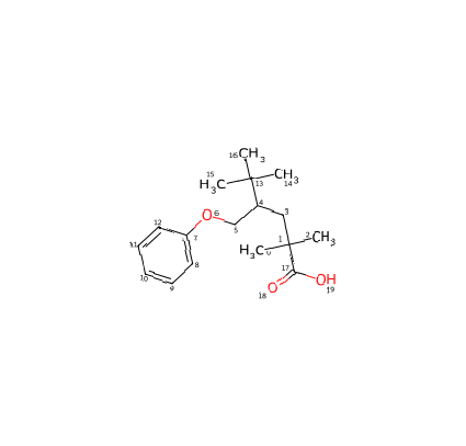 CC(C)(CC(COc1ccccc1)C(C)(C)C)C(=O)O